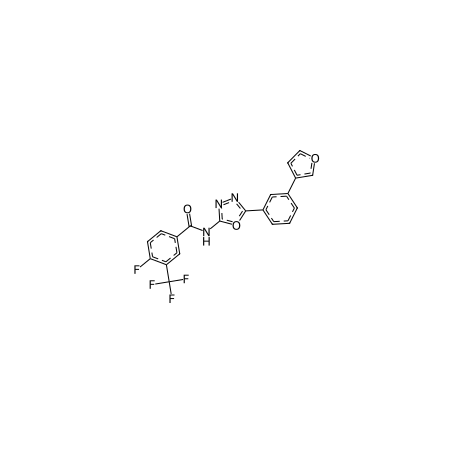 O=C(Nc1nnc(-c2cccc(-c3ccoc3)c2)o1)c1ccc(F)c(C(F)(F)F)c1